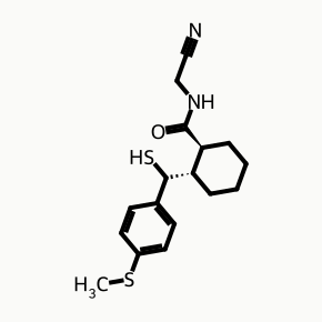 CSc1ccc(C(S)[C@H]2CCCC[C@@H]2C(=O)NCC#N)cc1